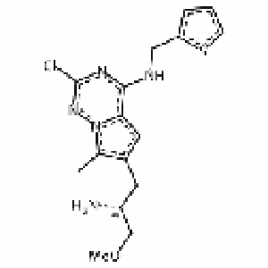 COC[C@H](N)Cc1cc2c(NCc3cccs3)nc(Cl)nn2c1C